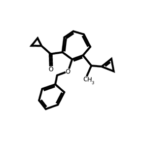 CC(C1=CC1)C1=C(OCc2ccccc2)C(C(=O)C2CC2)=C=CC=C1